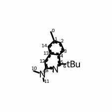 Cc1ccc2c(C(C)(C)C)nc(N(C)C)cc2c1